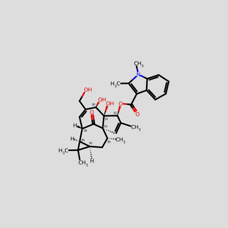 CC1=C[C@]23C(=O)[C@@H](C=C(CO)[C@@H](O)[C@]2(O)[C@H]1OC(=O)c1c(C)n(C)c2ccccc12)[C@H]1[C@@H](C[C@H]3C)C1(C)C